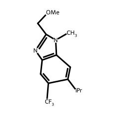 COCc1nc2cc(C(F)(F)F)c(C(C)C)cc2n1C